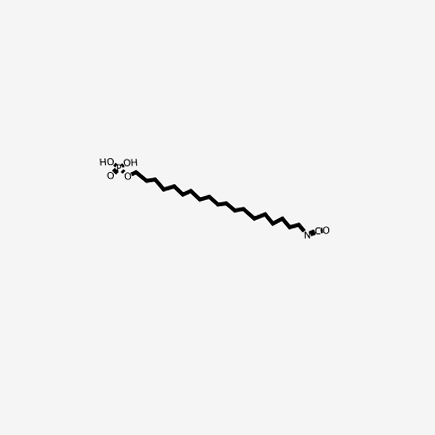 O=C=NCCCCCCCCCCCCCCCCCCCOP(=O)(O)O